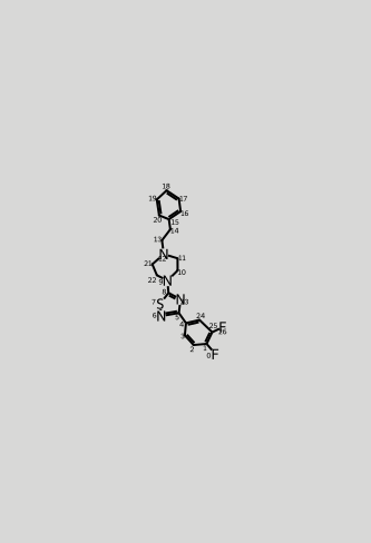 Fc1ccc(-c2nsc(N3CCN(CCc4ccccc4)CC3)n2)cc1F